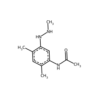 CNNc1cc(NC(C)=O)c(C)cc1C